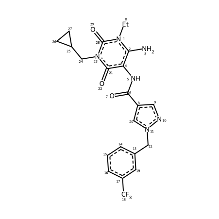 CCn1c(N)c(NC(=O)c2cnn(Cc3cccc(C(F)(F)F)c3)c2)c(=O)n(CC2CC2)c1=O